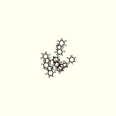 c1ccc(-c2nc3cccc(-c4nc(-c5ccc6c(c5)sc5ccccc56)nc(-n5c6ccccc6c6ccc7c8ccccc8n(-c8cccc9ccccc89)c7c65)n4)c3o2)cc1